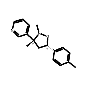 Cc1ccc([C@@H]2C[C@](C)(c3cccnc3)N(C)O2)cc1